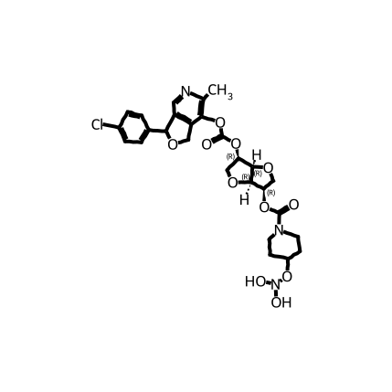 Cc1ncc2c(c1OC(=O)O[C@@H]1CO[C@H]3[C@@H]1OC[C@H]3OC(=O)N1CCC(ON(O)O)CC1)COC2c1ccc(Cl)cc1